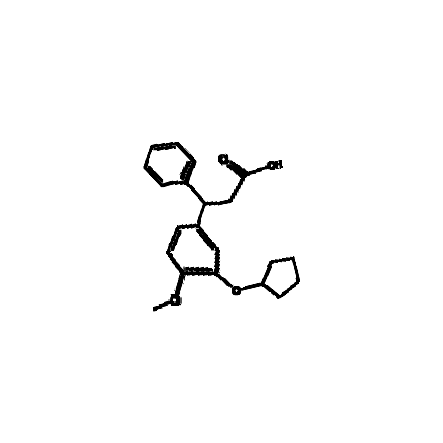 COc1ccc(C(CC(=O)O)c2ccccc2)cc1OC1CCCC1